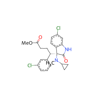 COC(=O)CCC(c1cccc(Cl)c1)[C@@]1(N(C)C2CC2)C(=O)Nc2cc(Cl)ccc21